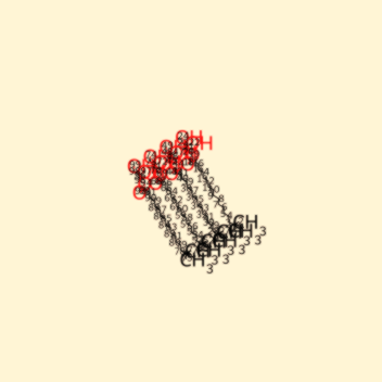 CC(C)CCCCCCCCCCCCCCC(=O)OCC(O)CO.CC(C)CCCCCCCCCCCCCCC(=O)OCC(O)CO.CC(C)CCCCCCCCCCCCCCC(=O)OCC(O)CO.CC(C)CCCCCCCCCCCCCCC(=O)OCC(O)CO